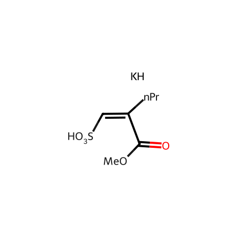 CCCC(=CS(=O)(=O)O)C(=O)OC.[KH]